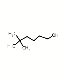 CC(C)(C)CCCCO